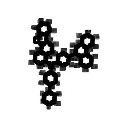 c1ccc(-c2ccc(N(c3ccc(-c4cc5ccccc5c5ccccc45)cc3)c3cccc4c3ccc3c5ccccc5oc43)cc2)cc1